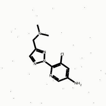 CN(C)Cc1cnn(-c2ncc(N)cc2Cl)n1